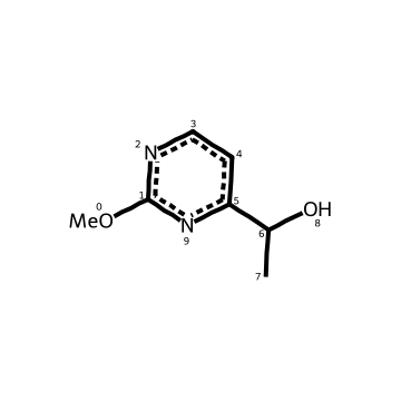 COc1nccc(C(C)O)n1